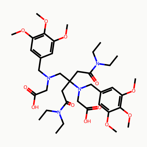 CCN(CC)C(=O)CC(CC(=O)N(CC)CC)(CN(CC(=O)O)Cc1cc(OC)c(OC)c(OC)c1)N(CC(=O)O)Cc1cc(OC)c(OC)c(OC)c1